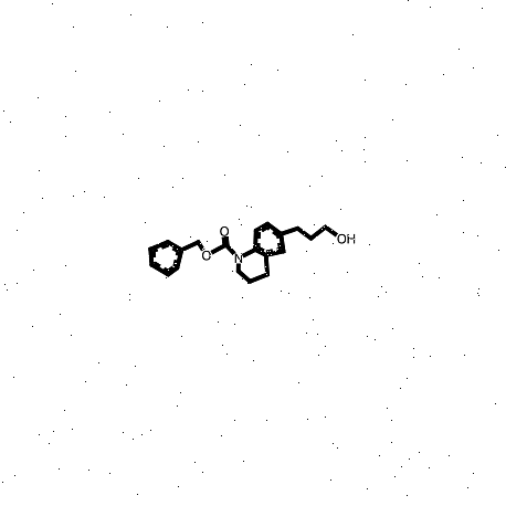 O=C(OCc1ccccc1)N1CCCc2cc(CCCO)ccc21